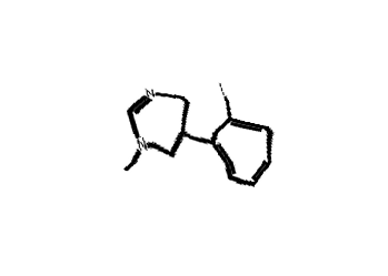 CN1C=NCC(c2ccccc2I)C1